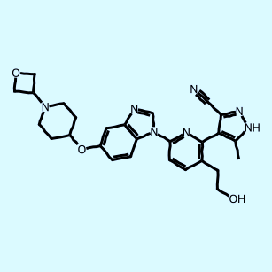 Cc1[nH]nc(C#N)c1-c1nc(-n2cnc3cc(OC4CCN(C5COC5)CC4)ccc32)ccc1CCO